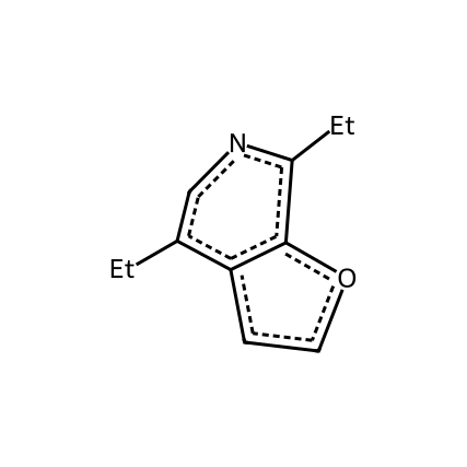 CCc1cnc(CC)c2occc12